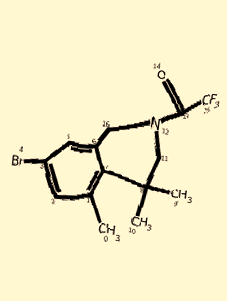 Cc1cc(Br)cc2c1C(C)(C)CN(C(=O)C(F)(F)F)C2